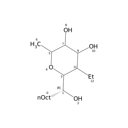 CCCCCCCC[C@@H](O)C1OC(C)C(O)C(O)C1CC